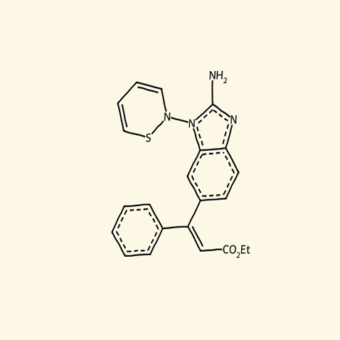 CCOC(=O)/C=C(/c1ccccc1)c1ccc2nc(N)n(N3C=CC=CS3)c2c1